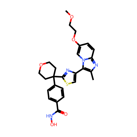 COCCOc1ccc2nc(C)c(-c3csc(C4(c5ccc(C(=O)NO)cc5)CCOCC4)n3)n2c1